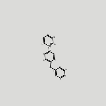 c1ccc(Cc2ccc(-[n+]3ccccc3)cc2)cc1